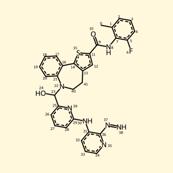 Cc1cccc(F)c1NC(=O)c1cc2c(s1)-c1ccccc1N(C(O)c1cccc(Nc3cccnc3N=N)n1)CC2